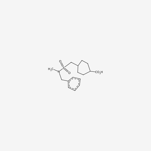 CN(Cc1ccccc1)S(=O)(=O)CC1CCC(C(=O)O)CC1